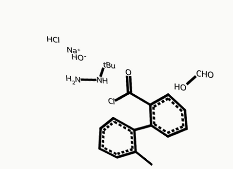 CC(C)(C)NN.Cc1ccccc1-c1ccccc1C(=O)Cl.Cl.O=CO.[Na+].[OH-]